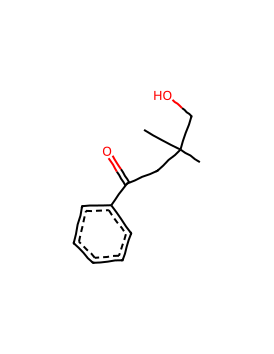 CC(C)(CO)CC(=O)c1ccccc1